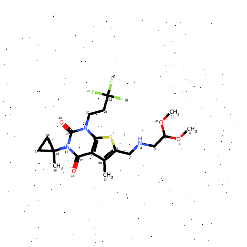 COC(CNCc1sc2c(c1C)c(=O)n(C1(C)CC1)c(=O)n2CCC(F)(F)F)OC